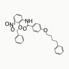 O=C(Nc1cccc([N+](=O)[O-])c1OCc1ccccc1)c1ccc(OCCCCc2ccccc2)cc1